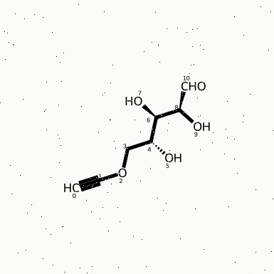 C#COC[C@@H](O)[C@@H](O)[C@H](O)C=O